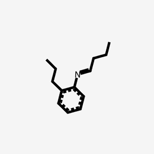 CCCC=Nc1ccccc1CCC